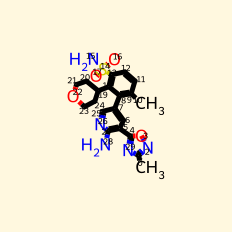 Cc1noc(-c2cc(-c3c(C)ccc(S(N)(=O)=O)c3C3CCOCC3)cnc2N)n1